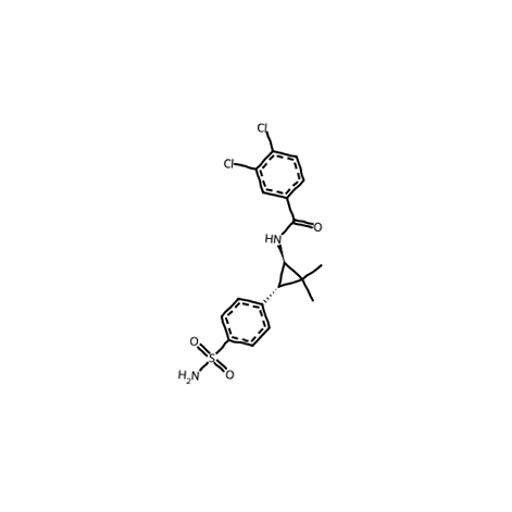 CC1(C)[C@H](NC(=O)c2ccc(Cl)c(Cl)c2)[C@H]1c1ccc(S(N)(=O)=O)cc1